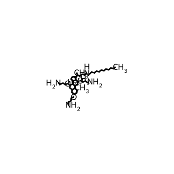 CCCCCCCCCCCCNCCCC(C)C1CC[C@H]2C3[C@H](OCCCN)CC4C[C@H](OCCCN)CCC4(C)[C@H]3C[C@H](OCCCN)C12C